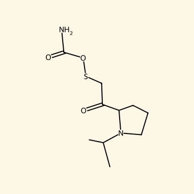 CC(C)N1CCCC1C(=O)CSOC(N)=O